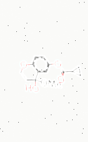 COC1(O)CCOc2ccc(OC(=O)C3CC3)cc21